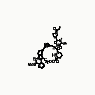 C=CC(=O)N1CC[C@H](C(=O)N(C)C(C(=O)N[C@H]2Cc3csc(n3)-c3ccc4c(c3)c(c(-c3cccnc3[C@H](C)OC)n4CC)CC(C)(C)COC(=O)[C@@H]3CCCN(N3)C2=O)C(C)C)C1